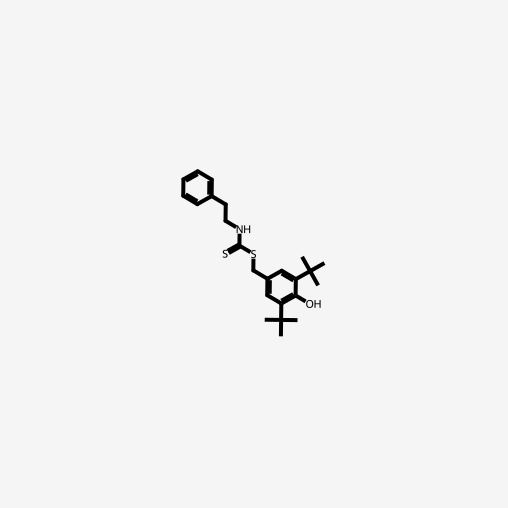 CC(C)(C)c1cc(CSC(=S)NCCc2ccccc2)cc(C(C)(C)C)c1O